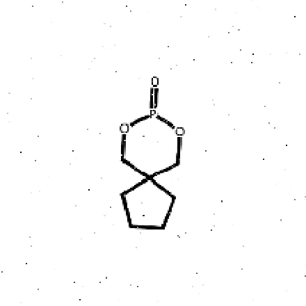 O=[P]1OCC2(CCCC2)CO1